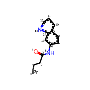 CC(C)CCC(=O)Nc1ccc2cccnc2c1